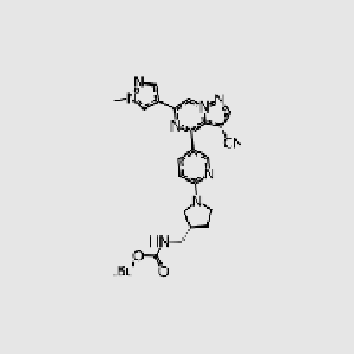 Cn1cc(-c2cn3ncc(C#N)c3c(-c3ccc(N4CC[C@H](CNC(=O)OC(C)(C)C)C4)nc3)n2)cn1